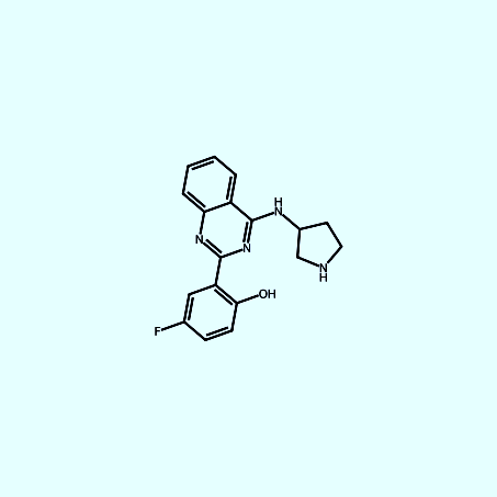 Oc1ccc(F)cc1-c1nc(NC2CCNC2)c2ccccc2n1